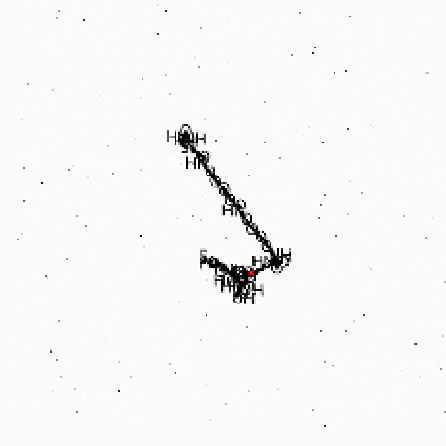 O=C(CCCC[C@H]1SC[C@H]2NC(=O)N[C@H]21)NCCOCCOCCOCCOCCC(=O)NCCOCCOCCOCCOCCNc1c(NCCCCCCO[C@]2(C(=O)O)C[C@H](O)[C@@H](NC(=O)CO)[C@H]([C@H](O)[C@H](O)CNC(=O)Cc3ccc(C(F)F)cc3)O2)c(=O)c1=O